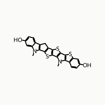 Cn1c2c(c3ccc(O)cc31)Cc1c-2sc2c1sc1c3sc4cc(O)ccc4c3n(C)c21